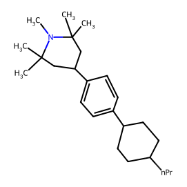 CCCC1CCC(c2ccc(C3CC(C)(C)N(C)C(C)(C)C3)cc2)CC1